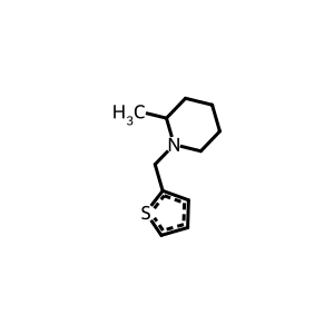 CC1CCCCN1Cc1cccs1